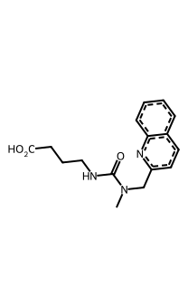 CN(Cc1ccc2ccccc2n1)C(=O)NCCCC(=O)O